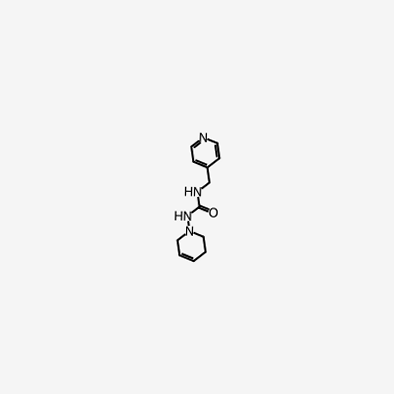 O=C(NCc1ccncc1)NN1CC=CCC1